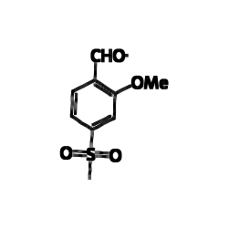 COc1cc(S(C)(=O)=O)ccc1[C]=O